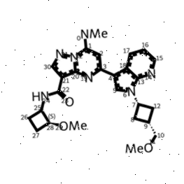 CNc1cc(-c2cn([C@H]3C[C@@H](COC)C3)c3ncccc23)nc2c(C(=O)NC3CC[C@@H]3OC)cnn12